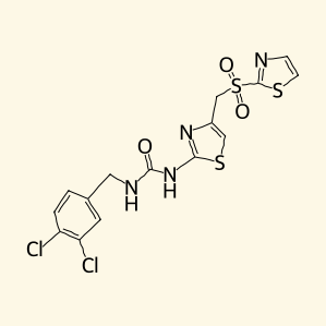 O=C(NCc1ccc(Cl)c(Cl)c1)Nc1nc(CS(=O)(=O)c2nccs2)cs1